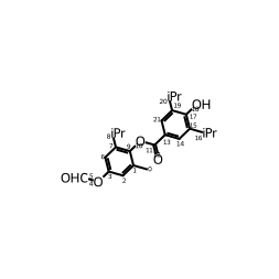 Cc1cc(OC=O)cc(C(C)C)c1OC(=O)c1cc(C(C)C)c(O)c(C(C)C)c1